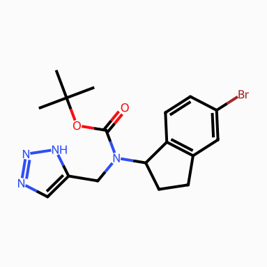 CC(C)(C)OC(=O)N(Cc1cnn[nH]1)C1CCc2cc(Br)ccc21